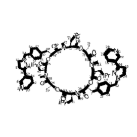 CC(C)C[C@H]1C(=O)O[C@H](Cc2ccc(Cn3ccc(-c4cccnc4)n3)cc2)C(=O)N(C)[C@@H](CC(C)C)C(=O)O[C@H](C)C(=O)N(C)[C@@H](CC(C)C)C(=O)O[C@H](Cc2ccc(Cn3ccc(-c4cccnc4)n3)cc2)C(=O)N(C)[C@@H](CC(C)C)C(=O)O[C@H](C)C(=O)N1C